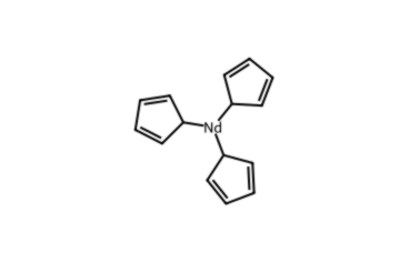 C1=C[CH]([Nd]([CH]2C=CC=C2)[CH]2C=CC=C2)C=C1